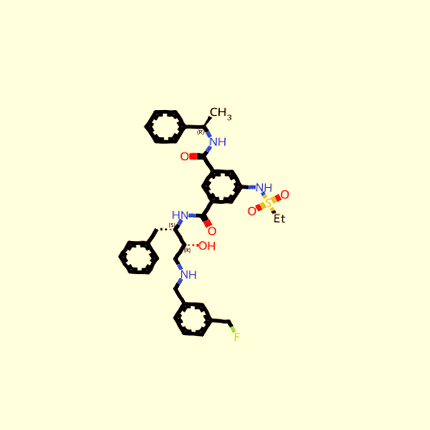 CCS(=O)(=O)Nc1cc(C(=O)N[C@@H](Cc2ccccc2)[C@H](O)CNCc2cccc(CF)c2)cc(C(=O)N[C@H](C)c2ccccc2)c1